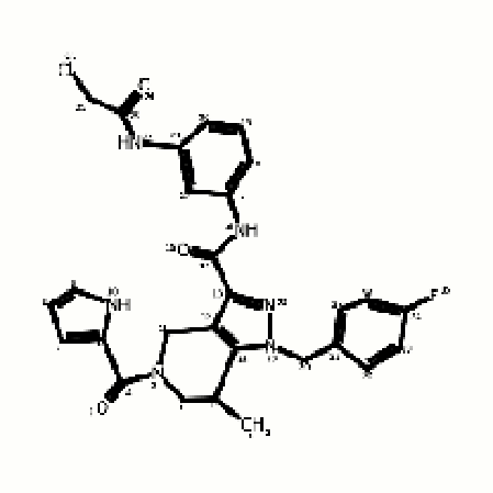 CC1CN(C(=O)c2ccc[nH]2)Cc2c(C(=O)Nc3cccc(NC(=O)CCl)c3)nn(Cc3ccc(F)cc3)c21